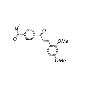 COc1ccc(/C=C/C(=O)c2ccc(C(=O)N(C)C)cc2)c(OC)c1